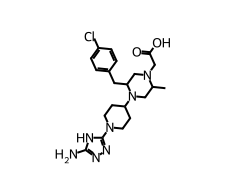 CC1CN(C2CCN(c3nnc(N)[nH]3)CC2)C(Cc2ccc(Cl)cc2)CN1CC(=O)O